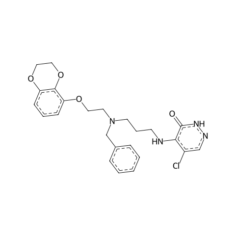 O=c1[nH]ncc(Cl)c1NCCCN(CCOc1cccc2c1OCCO2)Cc1ccccc1